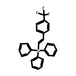 FC(F)(F)c1ccc(/C=C/[Si](c2ccccc2)(c2ccccc2)c2ccccc2)cc1